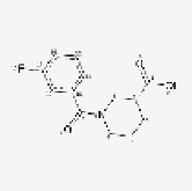 O=C(O)[C@@H]1CCCN(C(=O)c2cc[c]c(F)c2)C1